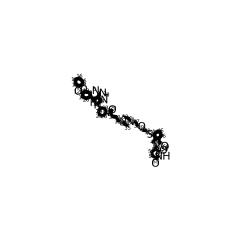 Nc1ncnc2c1c(-c1ccc(Oc3ccccc3)cc1)nn2[C@@H]1CCCN(C(=O)/C=C/CN2CCN(CCOCCSc3cccc4c3CN(C3CCC(=O)NC3=O)C4=O)CC2)C1